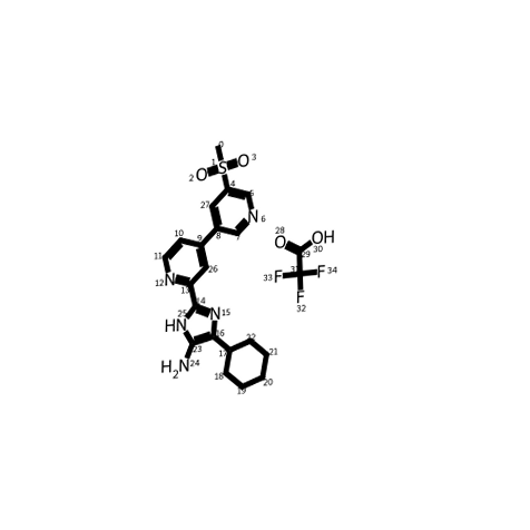 CS(=O)(=O)c1cncc(-c2ccnc(-c3nc(C4CCCCC4)c(N)[nH]3)c2)c1.O=C(O)C(F)(F)F